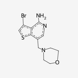 Nc1ncc(CN2CCOCC2)c2scc(Br)c12